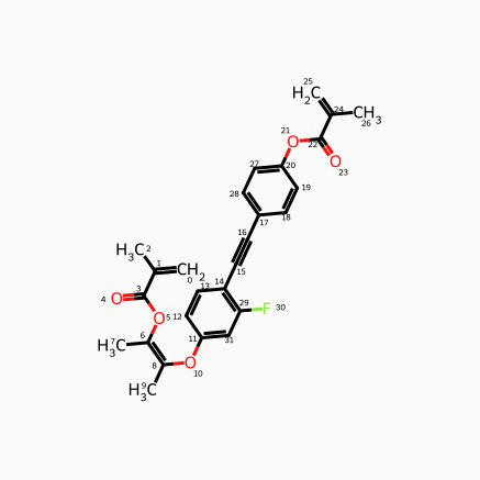 C=C(C)C(=O)OC(C)=C(C)Oc1ccc(C#Cc2ccc(OC(=O)C(=C)C)cc2)c(F)c1